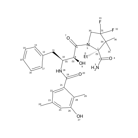 CC[C@]1(C(N)=O)N(C(=O)[C@@H](O)[C@H](Cc2ccccc2)NC(=O)c2cc(C)cc(O)c2C)CC(F)(F)C1(C)C